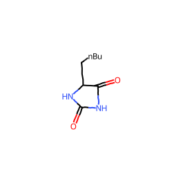 CCCCCC1NC(=O)NC1=O